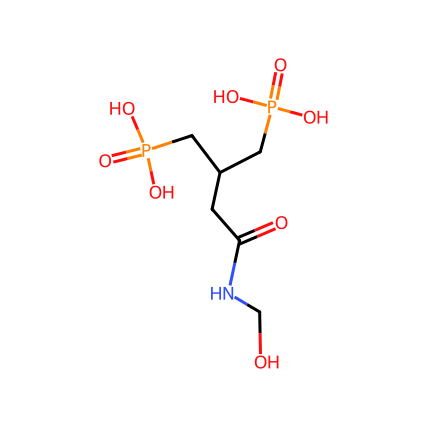 O=C(CC(CP(=O)(O)O)CP(=O)(O)O)NCO